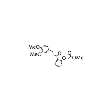 COC(=O)COc1ccccc1C(=O)CCc1ccc(OC)c(OC)c1